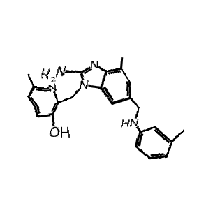 Cc1cccc(NCc2cc(C)c3nc(N)n(Cc4nc(C)ccc4O)c3c2)c1